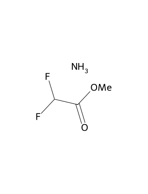 COC(=O)C(F)F.N